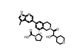 Cc1c[nH]c2ncc(-c3cc4c(c([C@@H]5CCCN5C(=O)O)c3)CN(C(=O)C(O)C3CCOCC3)CC4)cc12